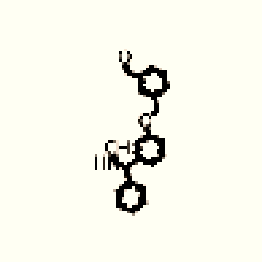 CNC(c1ccccc1)c1cccc(OCc2cccc(C=O)c2)c1